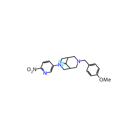 COc1ccc(CN2CC3CN(c4ccc([N+](=O)[O-])nc4)CC(C2)C3(F)F)cc1